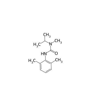 Cc1cccc(C)c1NC(=O)N(C)C(C)C